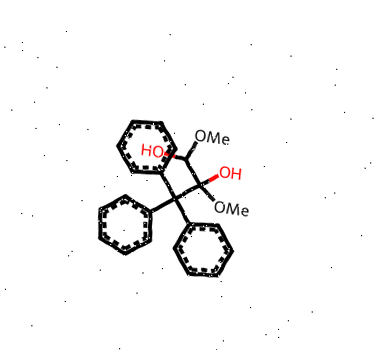 COC(O)C(O)(OC)C(c1ccccc1)(c1ccccc1)c1ccccc1